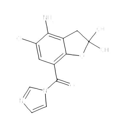 CC1(C)Cc2c(N)c(Cl)cc(C(=O)n3ccnc3)c2O1